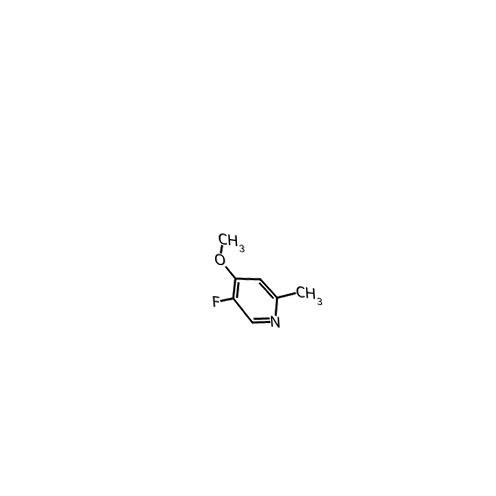 COc1cc(C)ncc1F